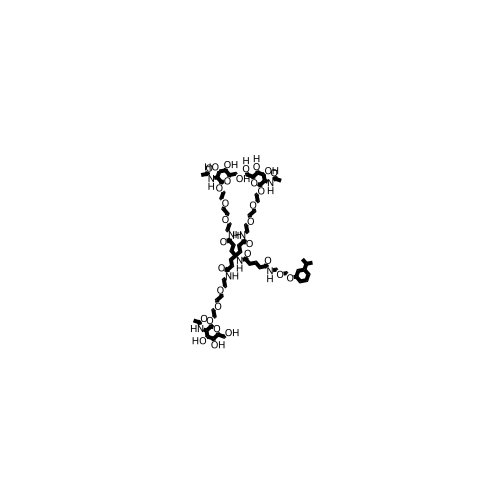 CC(=O)NC1C(OCCOCCOCCNC(=O)CCC(CCC(=O)NCCOCCOCCOC2OC(CO)C(O)C(O)C2NC(C)=O)(CCC(=O)NCCOCCOCCOC2OC(CO)C(O)C(O)C2NC(C)=O)NC(=O)CCCC(=O)NCOCOC2CCCC(C(C)C)C2)OC(CO)C(O)C1O